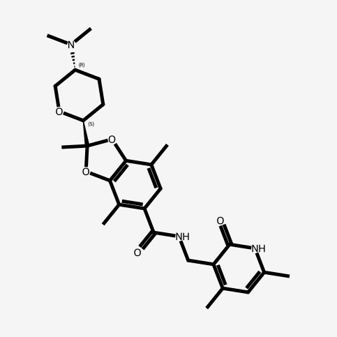 Cc1cc(C)c(CNC(=O)c2cc(C)c3c(c2C)OC(C)([C@@H]2CC[C@@H](N(C)C)CO2)O3)c(=O)[nH]1